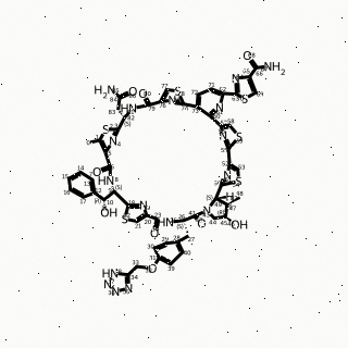 Cc1sc2nc1C(=O)N[C@@H]([C@H](O)c1ccccc1)c1nc(cs1)C(=O)N[C@@H](Cc1ccc(OCc3nnn[nH]3)cc1)C(=O)N1C[C@H](O)[C@H](C)[C@H]1c1nc(cs1)-c1nc(cs1)-c1nc(-c3nc(C(N)=O)cs3)ccc1-c1nc(cs1)C(=O)N[C@H]2CC(N)=O